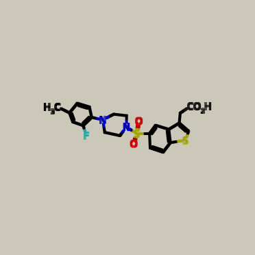 Cc1ccc(N2CCN(S(=O)(=O)c3ccc4scc(CC(=O)O)c4c3)CC2)c(F)c1